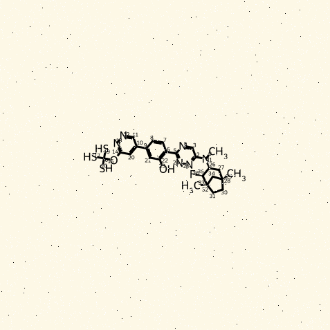 CN(c1cnc(-c2ccc(-c3cnnc(OC(S)(S)S)c3)cc2O)nn1)[C@H]1C[C@]2(C)CC[C@@](C)(C2)[C@H]1F